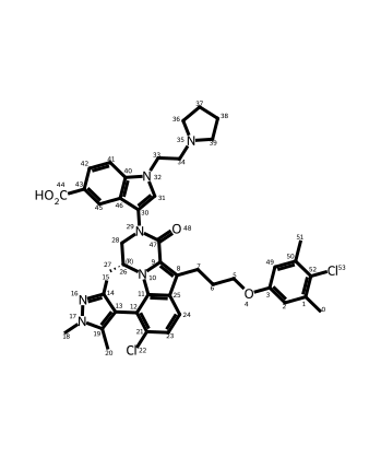 Cc1cc(OCCCc2c3n(c4c(-c5c(C)nn(C)c5C)c(Cl)ccc24)[C@H](C)CN(c2cn(CCN4CCCC4)c4ccc(C(=O)O)cc24)C3=O)cc(C)c1Cl